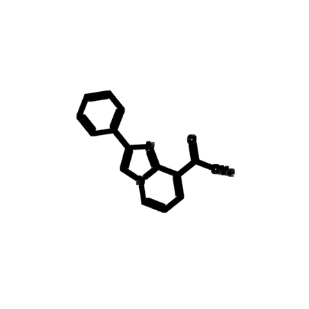 COC(=O)c1cccn2cc(-c3ccccc3)nc12